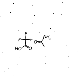 CC(N)=O.O=C(O)C(F)(F)F